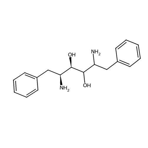 NC(Cc1ccccc1)C(O)[C@H](O)[C@@H](N)Cc1ccccc1